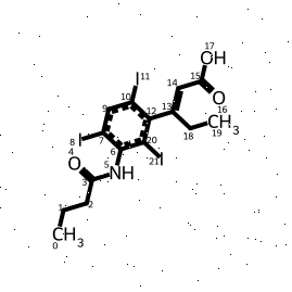 CCCC(=O)Nc1c(I)cc(I)c(C(=CC(=O)O)CC)c1I